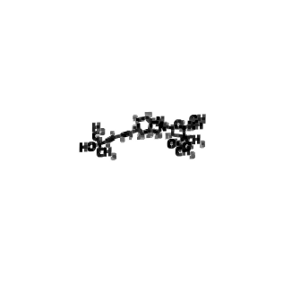 CC(C)(O)C#CC#Cc1ccc2nn(CC[C@](C)(C(=O)NO)S(C)(=O)=O)cc2c1